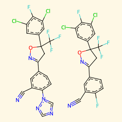 N#Cc1cc(C2=NOC(c3cc(Cl)c(F)c(Cl)c3)(C(F)(F)F)C2)ccc1-n1cncn1.N#Cc1cc(C2=NOC(c3cc(Cl)c(F)c(Cl)c3)(C(F)(F)F)C2)ccc1F